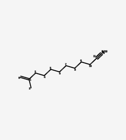 C=C(C)CCCCCCCCC#N